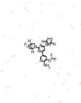 Nc1ncc(-c2cc(N3C[C@@H]4C[C@H]3CO4)nc(N3C[C@H]4C[C@@H]3C[C@@H]4F)n2)cc1OC(F)F